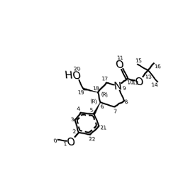 COc1ccc([C@@H]2CCN(C(=O)OC(C)(C)C)C[C@@H]2CO)cc1